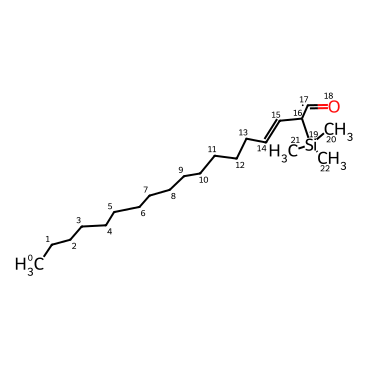 CCCCCCCCCCCCCCC=CC([C]=O)[Si](C)(C)C